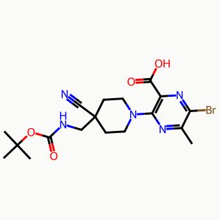 Cc1nc(N2CCC(C#N)(CNC(=O)OC(C)(C)C)CC2)c(C(=O)O)nc1Br